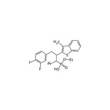 CCOP(=O)(O)C(C(C)C)C(Cc1ccc(F)c(F)c1)c1sc2ccccc2c1C